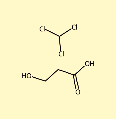 ClC(Cl)Cl.O=C(O)CCO